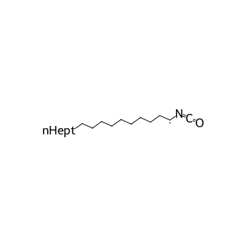 CCCCCCCCCCCCCCCC[CH]N=C=O